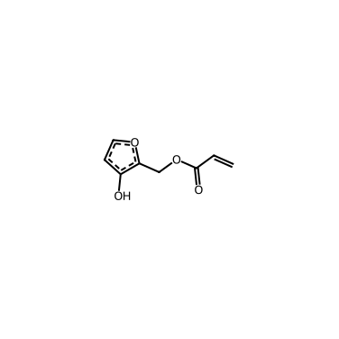 C=CC(=O)OCc1occc1O